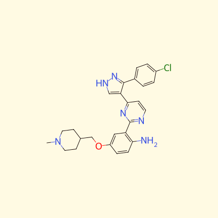 CN1CCC(COc2ccc(N)c(-c3nccc(-c4c[nH]nc4-c4ccc(Cl)cc4)n3)c2)CC1